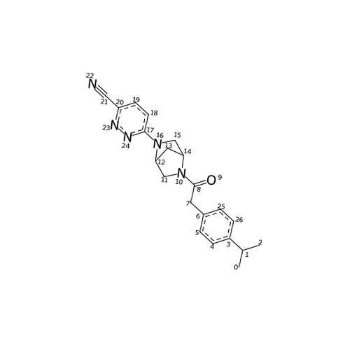 CC(C)c1ccc(CC(=O)N2CC3CC2CN3c2ccc(C#N)nn2)cc1